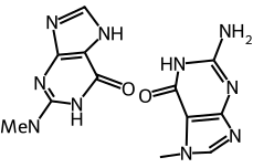 CNc1nc2nc[nH]c2c(=O)[nH]1.Cn1cnc2nc(N)[nH]c(=O)c21